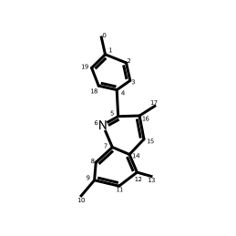 Cc1ccc(-c2nc3cc(C)cc(C)c3cc2C)cc1